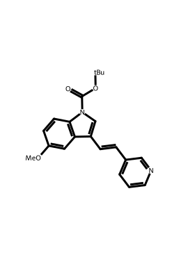 COc1ccc2c(c1)c(/C=C/c1cccnc1)cn2C(=O)OC(C)(C)C